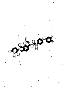 O=C1CCC(N2Cc3ccc(COC(=O)Nc4ccc(Oc5ccc(F)c(F)c5)cc4)c(OC(F)F)c3C2=O)C(=O)N1